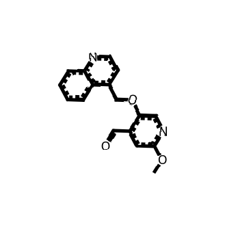 COc1cc(C=O)c(OCc2ccnc3ccccc23)cn1